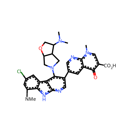 CNc1cc(Cl)cc2c1[nH]c1ncc(-c3cnc4c(c3)c(=O)c(C(=O)O)cn4C)c(N3CC4OCC(N(C)C)C4C3)c12